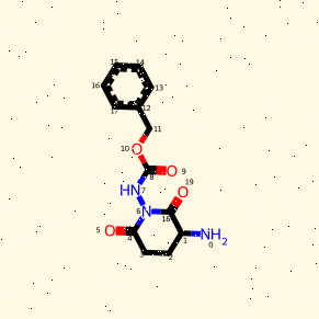 NC1CCC(=O)N(NC(=O)OCc2ccccc2)C1=O